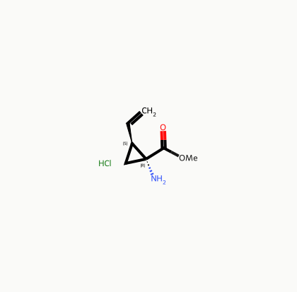 C=C[C@@H]1C[C@]1(N)C(=O)OC.Cl